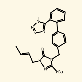 C/C=C/Cn1nc(CCCC)n(Cc2ccc(-c3ccccc3-c3nnn[nH]3)cc2)c1=O